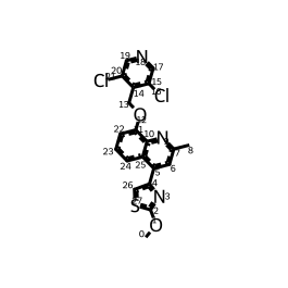 COc1nc(-c2cc(C)nc3c(OCc4c(Cl)cncc4Cl)cccc23)cs1